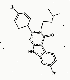 CN(C)CCn1c(C2C=CC(Cl)=CC2)nc2[nH]c3cc(Br)ccc3c2c1=O